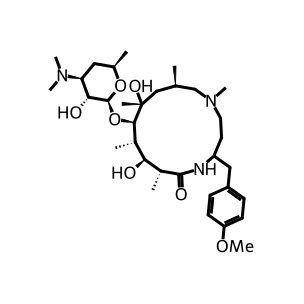 COc1ccc(CC2CCN(C)C[C@H](C)C[C@@](C)(O)[C@H](O[C@@H]3O[C@H](C)C[C@H](N(C)C)[C@H]3O)[C@@H](C)[C@H](O)[C@@H](C)C(=O)N2)cc1